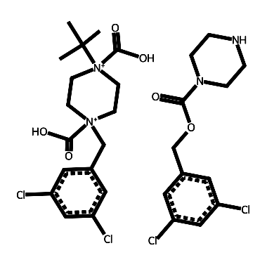 CC(C)(C)[N+]1(C(=O)O)CC[N+](Cc2cc(Cl)cc(Cl)c2)(C(=O)O)CC1.O=C(OCc1cc(Cl)cc(Cl)c1)N1CCNCC1